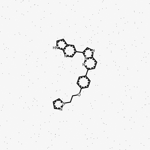 c1cnn(CCOc2ccc(-c3ccc4ncc(-c5cnc6[nH]ccc6c5)n4n3)cc2)c1